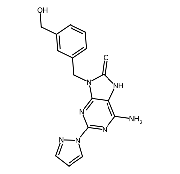 Nc1nc(-n2cccn2)nc2c1[nH]c(=O)n2Cc1cccc(CO)c1